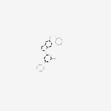 Cc1nc(N2CCOCC2)cc(-n2ncc3cc(C)c([C@H]4CCNC[C@@H]4O)cc32)n1